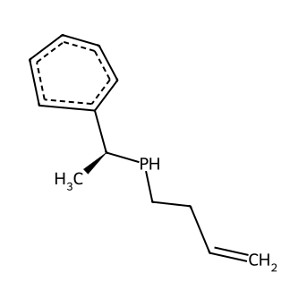 C=CCCP[C@@H](C)c1ccccc1